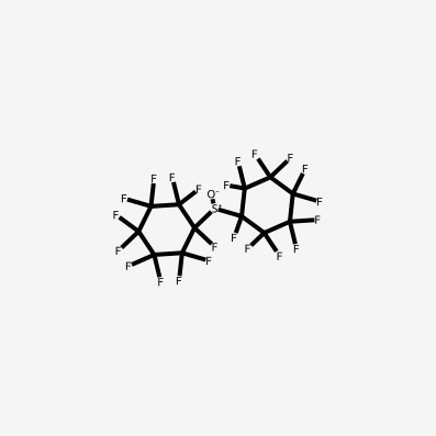 [O-][S+](C1(F)C(F)(F)C(F)(F)C(F)(F)C(F)(F)C1(F)F)C1(F)C(F)(F)C(F)(F)C(F)(F)C(F)(F)C1(F)F